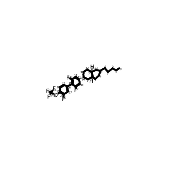 CCCCCC1CC[C@@H]2C[C@H](c3cc(F)c(-c4ccc(OC(F)(F)F)c(F)c4)c(F)c3)CC[C@@H]2C1